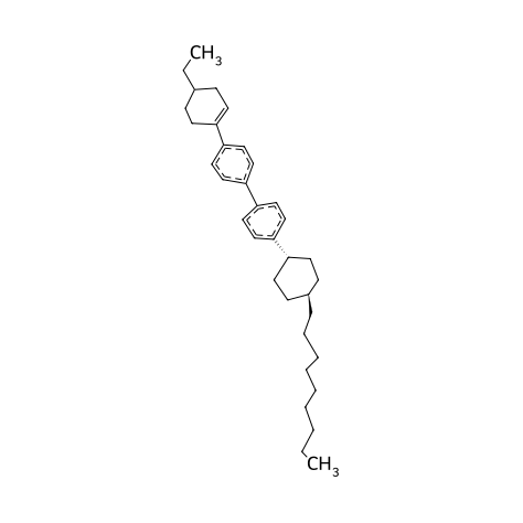 CCCCCCCCC[C@H]1CC[C@H](c2ccc(-c3ccc(C4=CCC(CC)CC4)cc3)cc2)CC1